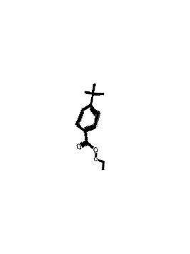 [CH2]COOC(=O)c1ccc(C(C)(C)C)cc1